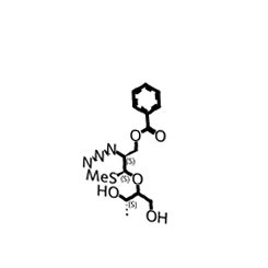 CS[C@H](OC(CO)[C@H](C)O)[C@H](COC(=O)c1ccccc1)N=[N+]=[N-]